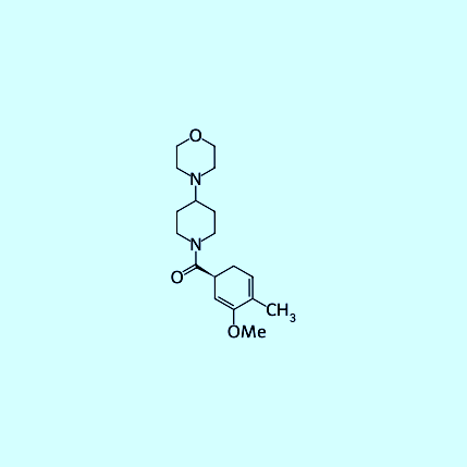 COC1=C[C@@H](C(=O)N2CCC(N3CCOCC3)CC2)CC=C1C